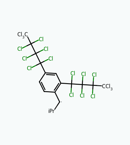 CC(C)[CH]c1ccc(C(Cl)(Cl)C(Cl)(Cl)C(Cl)(Cl)C(Cl)(Cl)Cl)cc1C(Cl)(Cl)C(Cl)(Cl)C(Cl)(Cl)C(Cl)(Cl)Cl